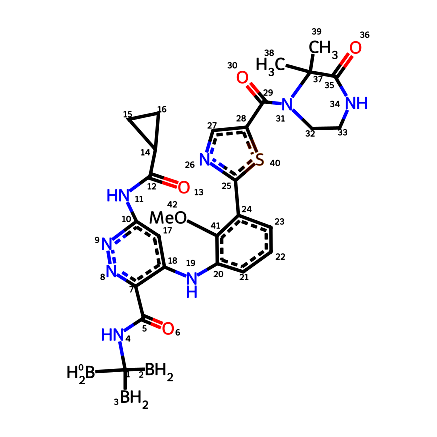 BC(B)(B)NC(=O)c1nnc(NC(=O)C2CC2)cc1Nc1cccc(-c2ncc(C(=O)N3CCNC(=O)C3(C)C)s2)c1OC